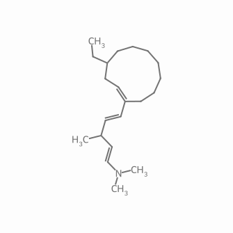 CCC1C/C=C(\C=C\C(C)/C=C/N(C)C)CCCCCCC1